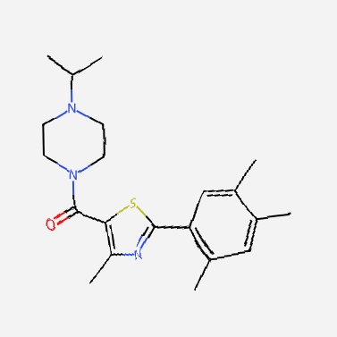 Cc1cc(C)c(-c2nc(C)c(C(=O)N3CCN(C(C)C)CC3)s2)cc1C